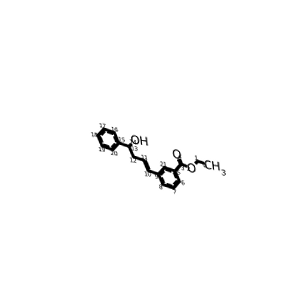 CCOC(=O)c1cccc(C=CCC(O)c2ccccc2)c1